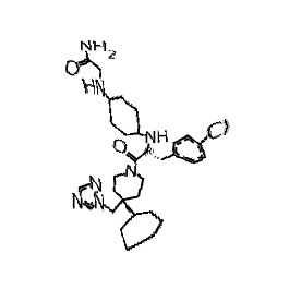 NC(=O)CNC1CCC(N[C@H](Cc2ccc(Cl)cc2)C(=O)N2CCC(Cn3cncn3)(C3CCCCC3)CC2)CC1